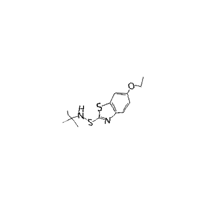 CCOc1ccc2nc(SNC(C)(C)C)sc2c1